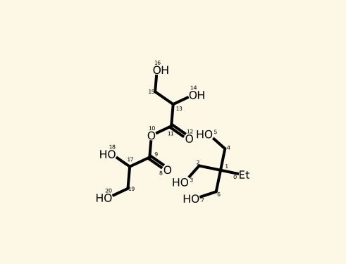 CCC(CO)(CO)CO.O=C(OC(=O)C(O)CO)C(O)CO